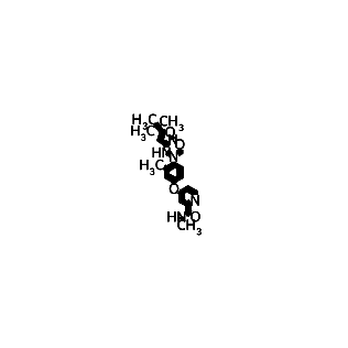 CNC(=O)c1cc(Oc2ccc(N(C=O)Nc3cc(C(C)(C)C)on3)c(C)c2)ccn1